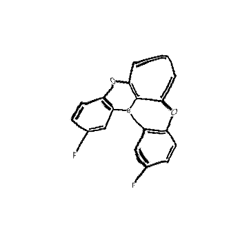 Fc1ccc2c(c1)B1c3cc(F)ccc3Oc3cccc(c31)O2